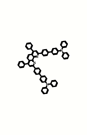 c1ccc(-c2cc(-c3ccc(-c4ccc(N(c5ccccc5)c5ccccc5)cc4)cc3)nc3c2ccc2c(-c4ccccc4)cc(-c4ccc(-c5ccc(N(c6ccccc6)c6ccccc6)cc5)cc4)nc23)cc1